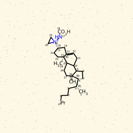 CC(C)CCC[C@@H](C)[C@H]1CCC2C3CC=C4C[C@@H]([N+]5(NC(=O)O)CC5)CC[C@]4(C)C3CC[C@@]21C